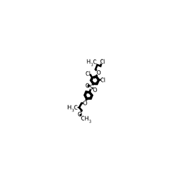 COC[C@H](C)COc1ccc(S(=O)(=O)c2cc(Cl)c(OC[C@H](C)CCl)c(Cl)c2)cc1